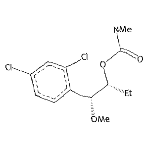 CC[C@@H](OC(=O)NC)[C@H](OC)c1ccc(Cl)cc1Cl